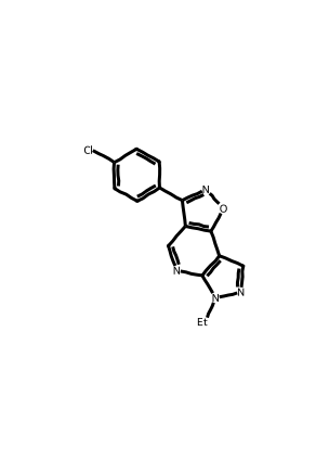 CCn1ncc2c3onc(-c4ccc(Cl)cc4)c3cnc21